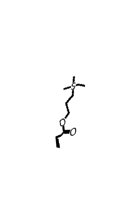 C=CC(=O)OCCCS(C)(C)C